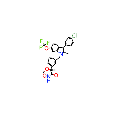 Cc1c(-c2ccc(Cl)cc2)c2ccc(OC(F)(F)F)cc2n1Cc1cccc([C@@]2(C)OCONC2=O)c1